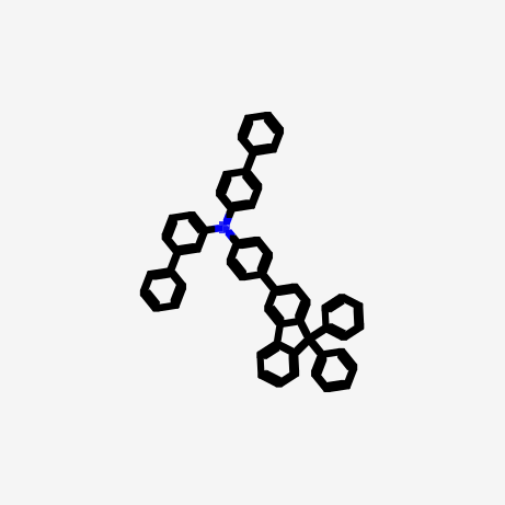 c1ccc(-c2ccc(N(c3ccc(-c4ccc5c(c4)-c4ccccc4C5(c4ccccc4)c4ccccc4)cc3)c3cccc(-c4ccccc4)c3)cc2)cc1